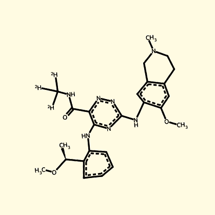 [2H]C([2H])([2H])NC(=O)c1nnc(Nc2cc3c(cc2OC)CCN(C)C3)nc1Nc1ccccc1[C@H](C)OC